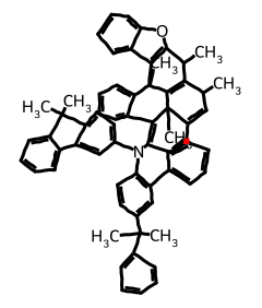 CC1C=C2C=CC(N(c3ccc4c(c3)-c3ccccc3C4(C)C)c3ccc(C(C)(C)c4ccccc4)cc3-c3ccccc3)=C3c4ccccc4C4(C)C(=C1C(C)c1oc5ccccc5c14)C23C